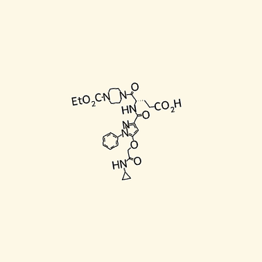 CCOC(=O)N1CCN(C(=O)[C@H](CCC(=O)O)NC(=O)c2cc(OCC(=O)NC3CC3)n(-c3ccccc3)n2)CC1